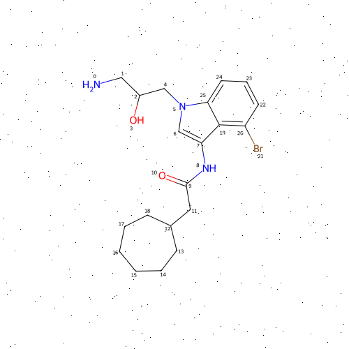 NCC(O)Cn1cc(NC(=O)CC2CCCCCC2)c2c(Br)cccc21